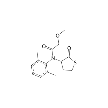 COCC(=O)N(c1c(C)cccc1C)C1CCSC1=O